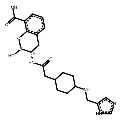 O=C(CC1CCC(NCc2cnc[nH]2)CC1)N[C@H]1Cc2cccc(C(=O)O)c2OB1O